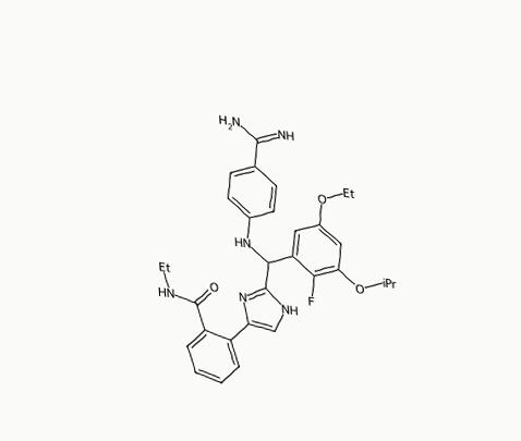 CCNC(=O)c1ccccc1-c1c[nH]c(C(Nc2ccc(C(=N)N)cc2)c2cc(OCC)cc(OC(C)C)c2F)n1